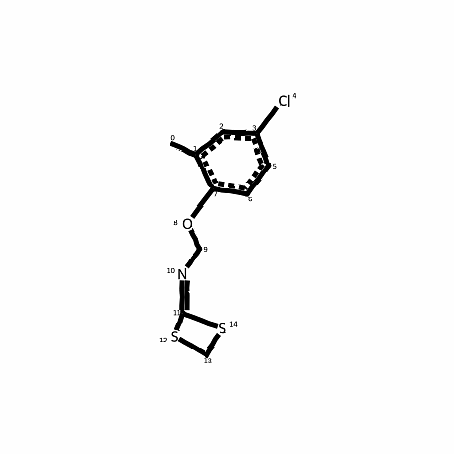 Cc1cc(Cl)ccc1OCN=C1SCS1